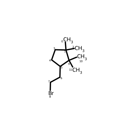 CC1(C)CCC(CCBr)C1(C)C